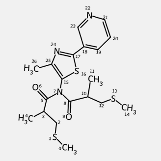 CSCC(C)C(=O)N(C(=O)C(C)CSC)c1sc(-c2cccnc2)nc1C